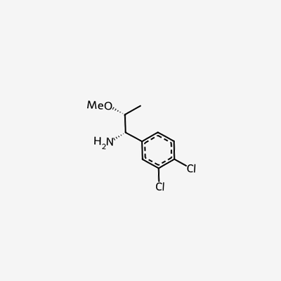 CO[C@H](C)[C@@H](N)c1ccc(Cl)c(Cl)c1